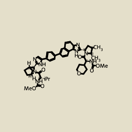 COC(=O)N[C@H](C(=O)N1[C@@H]2CC[C@@H](C2)[C@H]1c1ncc(-c2ccc(-c3ccc4c(ccc5nc([C@@H]6C[C@@H](C)[C@@H](C)N6C(=O)[C@@H](NC(=O)OC)C6CCOCC6)[nH]c54)c3)cc2)[nH]1)C(C)C